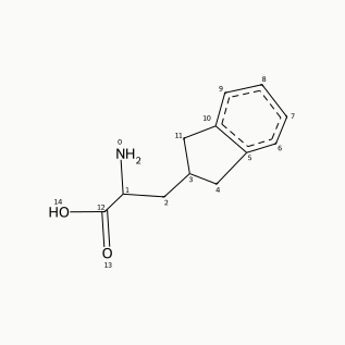 NC(CC1Cc2ccccc2C1)C(=O)O